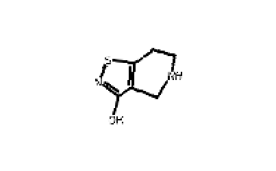 Oc1nsc2c1CNCC2